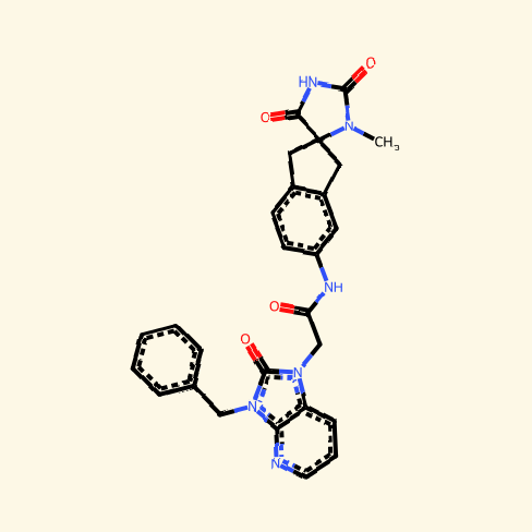 CN1C(=O)NC(=O)C12Cc1ccc(NC(=O)Cn3c(=O)n(Cc4ccccc4)c4ncccc43)cc1C2